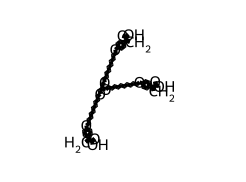 C=C(C(=O)O)c1ccc(OCCCCCCCCCCOCC(COCCCCCCCCCCOc2ccc(C(=C)C(=O)O)cc2)OCCCCCCCCCCOc2ccc(C(=C)C(=O)O)cc2)cc1